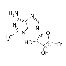 Cc1nc(N)c2ncn([C@@H]3O[C@H](C(C)C)[C@H](O)C3O)c2n1